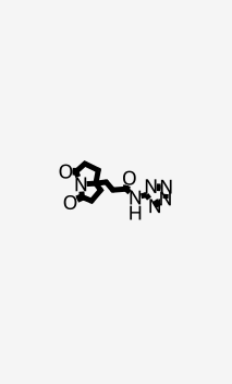 O=C(CCC12CCC(=O)N1C(=O)CC2)NC1N=NN=N1